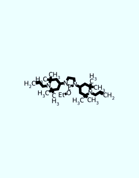 C=CCN1C(C)(C)CC(N2CCN(C3CC(C)(C)N(CC=C)C(C)(C)C3)P2OCC)CC1(C)C